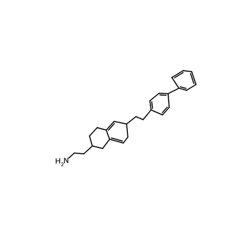 NCCC1CCC2=CC(CCc3ccc(-c4ccccc4)cc3)CC=C2C1